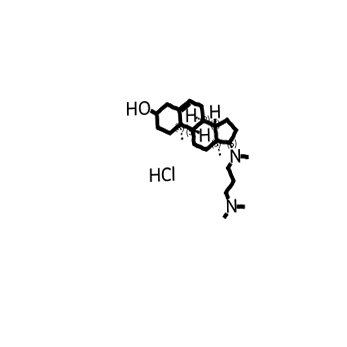 CN(C)CCCN(C)[C@H]1CC[C@H]2[C@@H]3CC=C4CC(O)CC[C@]4(C)[C@H]3CC[C@]12C.Cl